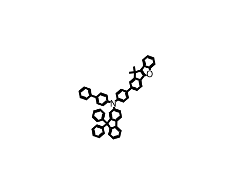 CC1(C)c2cc(-c3ccc(N(c4ccc(-c5ccccc5)cc4)c4ccc5c(c4)C(c4ccccc4)(c4ccccc4)c4ccccc4-5)cc3)ccc2-c2oc3ccccc3c21